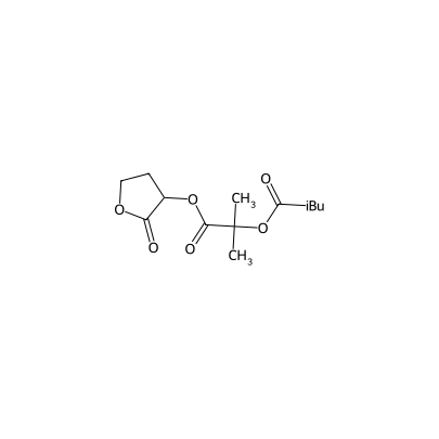 CCC(C)C(=O)OC(C)(C)C(=O)OC1CCOC1=O